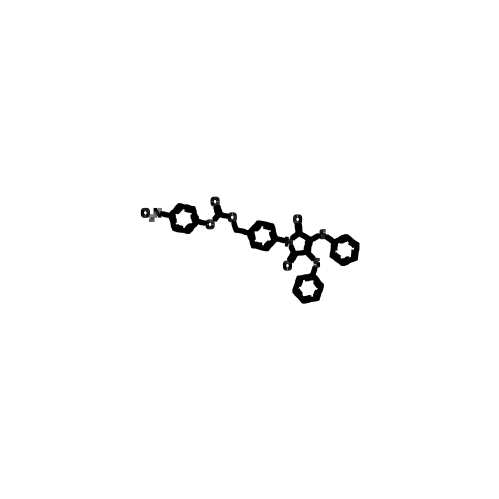 O=C(OCc1ccc(N2C(=O)C(Sc3ccccc3)=C(Sc3ccccc3)C2=O)cc1)Oc1ccc([N+](=O)[O-])cc1